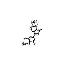 COc1c(F)cc(-c2nn(C)c3nc(N)ncc23)cc1F